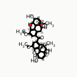 COc1cc(C(=O)c2cc(OC)c3c4c2C[C@@H]2[C@@H]5C=C[C@H](O)[C@H](O3)[C@]45CCN2C)c2c3c1O[C@H]1[C@@H](O)C=C[C@H]4[C@@H](C2)N(C)CC[C@@]341